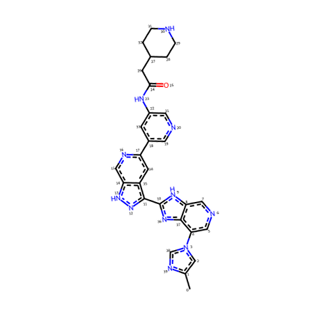 Cc1cn(-c2cncc3[nH]c(-c4n[nH]c5cnc(-c6cncc(NC(=O)CC7CCNCC7)c6)cc45)nc23)cn1